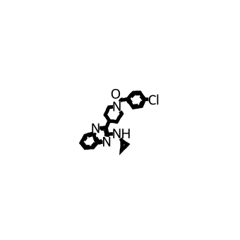 O=C(c1ccc(Cl)cc1)N1CCC(c2nc3ccccc3nc2NC2CC2)CC1